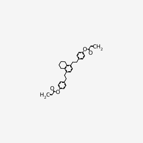 C=CC(=O)Oc1ccc(CCc2ccc(CCc3ccc(OC(=O)C=C)cc3)c3c2CCCC3)cc1